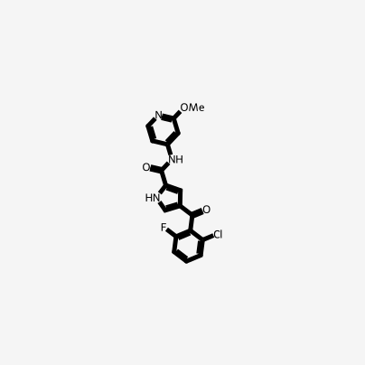 COc1cc(NC(=O)c2cc(C(=O)c3c(F)cccc3Cl)c[nH]2)ccn1